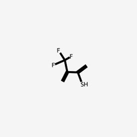 C=C(S)C(=C)C(F)(F)F